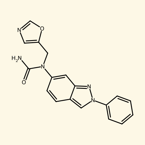 NC(=O)N(Cc1cnco1)c1ccc2cn(-c3ccccc3)nc2c1